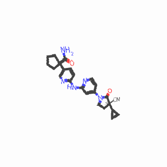 N#C[C@@]1(C2CC2)CCN(c2ccnc(Nc3ccc(C4(C(N)=O)CCCC4)cn3)c2)C1=O